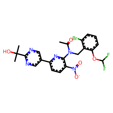 CC(=O)N(Cc1c(Br)cccc1OC(F)F)c1nc(-c2cnc(C(C)(C)O)nc2)ccc1[N+](=O)[O-]